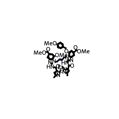 CCn1nc(C)cc1C(=O)Nc1nc2cc(C(=O)OC)cc(OC)c2n1C/C=C/Cn1c(NC(=O)c2cc(C)nn2CC)nc2cc(C(=O)OC)cc(OCc3ccc(OC)cc3)c21